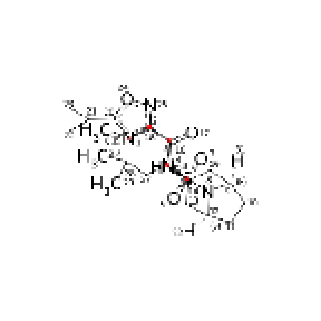 CN1CCN(S(=O)(=O)N2[C@@H]3CC[C@H]2C[C@@H](NC(=O)c2cc(C4CC4)on2)C3)CC1(C)C